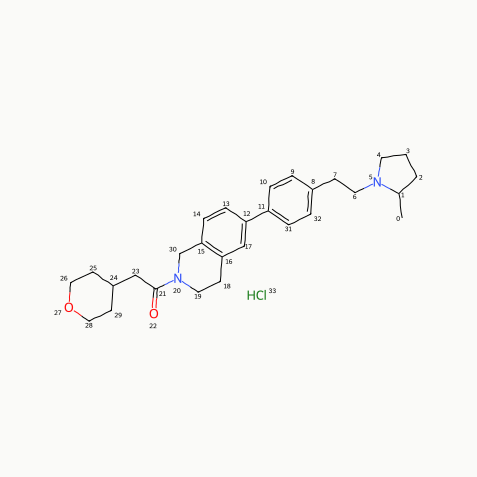 CC1CCCN1CCc1ccc(-c2ccc3c(c2)CCN(C(=O)CC2CCOCC2)C3)cc1.Cl